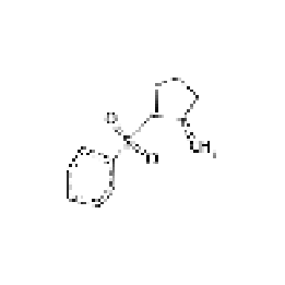 C=C1CCC=C1S(=O)(=O)c1ccccc1